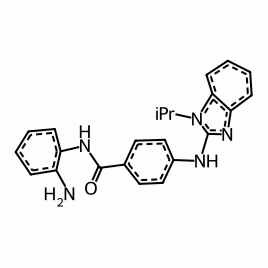 CC(C)n1c(Nc2ccc(C(=O)Nc3ccccc3N)cc2)nc2ccccc21